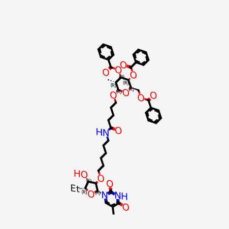 CC[C@H]1O[C@@H](n2cc(C)c(=O)[nH]c2=O)C(OCCCCCCNC(=O)CCCCO[C@@H]2O[C@H](COC(=O)c3ccccc3)[C@H](OC(=O)c3ccccc3)[C@H](OC(=O)c3ccccc3)[C@H]2C)[C@H]1O